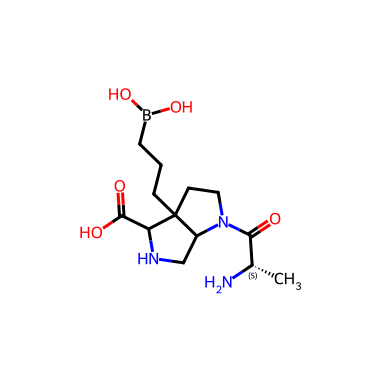 C[C@H](N)C(=O)N1CCC2(CCCB(O)O)C(C(=O)O)NCC12